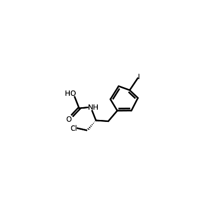 O=C(O)N[C@@H](CCl)Cc1ccc(I)cc1